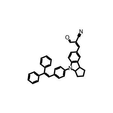 N#C/C(C=O)=C/c1ccc2c(c1)C1CCCC1N2c1ccc(C=C(c2ccccc2)c2ccccc2)cc1